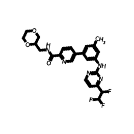 Cc1cc(Nc2nccc(C(F)C(F)F)n2)cc(-c2ccc(C(=O)NCC3COCCO3)nc2)c1